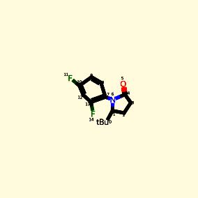 CC(C)(C)C1CCC(=O)N1c1ccc(F)cc1F